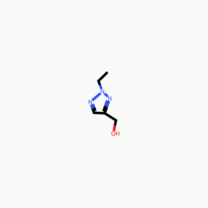 CCn1ncc(CO)n1